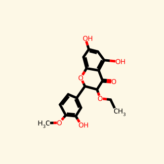 CCOC1C(=O)c2c(O)cc(O)cc2OC1c1ccc(OC)c(O)c1